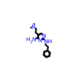 CN(C)CCc1cnc(NCCc2ccccc2)nc1N